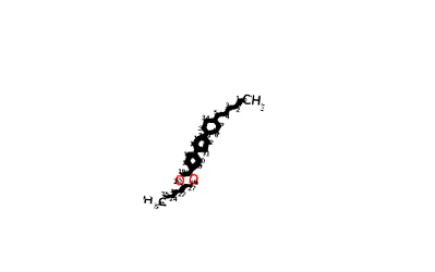 CCCCCCC1CCC(c2ccc(-c3ccc(C4COC(CCCCC)CO4)cc3)cc2)CC1